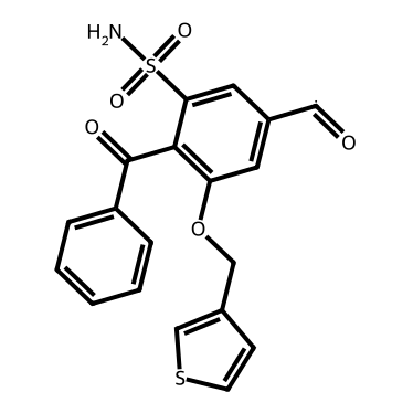 NS(=O)(=O)c1cc([C]=O)cc(OCc2ccsc2)c1C(=O)c1ccccc1